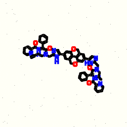 C#CCCN(Cc1ncc(-c2cc3c4c(c2)OCc2cc(-c5cnc(CN(CCC)C(=O)[C@H](NC(=O)c6ccccn6)c6ccccc6)[nH]5)cc(c2-4)OC3)[nH]1)C(=O)[C@H](NC(=O)c1ccccn1)c1ccccc1